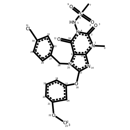 Cn1c(=O)n(NS(C)(=O)=O)c(=O)c2c1nc(Oc1cccc(OC(F)(F)F)c1)n2Cc1ccc(Cl)cc1